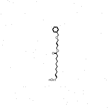 CCCCCCCCC=CCCCCCCCC(=O)OCC=CCOCc1ccccc1